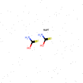 NC(O)=S.NC(O)=S.[NaH]